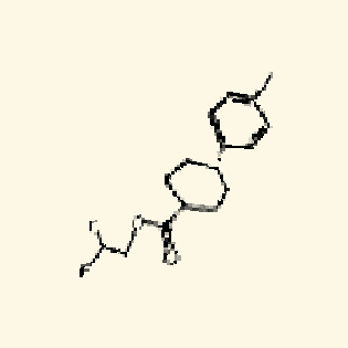 Cc1ccc([C@H]2CC[C@H](C(=O)OCC(F)F)CC2)cc1